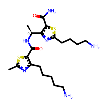 Cc1nc(CCCCCN)c(C(=O)N[C@@H](C)c2nc(CCCCN)sc2C(N)=O)s1